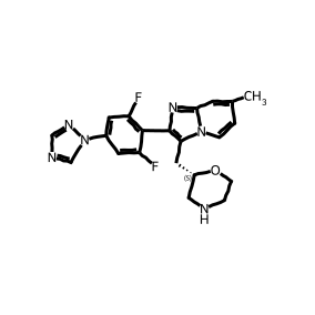 Cc1ccn2c(C[C@H]3CNCCO3)c(-c3c(F)cc(-n4cncn4)cc3F)nc2c1